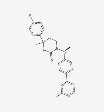 Cc1cc(-c2ccc([C@H](C)N3CCC(C)(c4ccc(F)cc4)OC3=O)cc2)ccn1